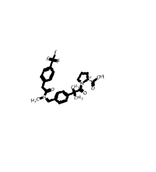 CN(Cc1ccc(C(C)(C)C(=O)N2CCC[C@@H]2C(=O)O)cc1)C(=O)Cc1ccc(C(F)(F)F)cc1